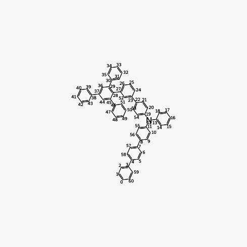 c1ccc(-c2ccc(-c3ccc(N(c4ccccc4)c4ccc(-c5cccc(-c6c(-c7ccccc7)cc(-c7ccccc7)cc6-c6ccccc6)c5)cc4)cc3)cc2)cc1